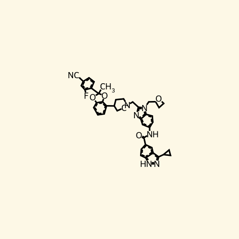 CC1(c2ccc(C#N)cc2F)Oc2cccc(C3CCN(Cc4nc5cc(NC(=O)c6ccc7[nH]nc(C8CC8)c7c6)ccc5n4CC4CCO4)CC3)c2O1